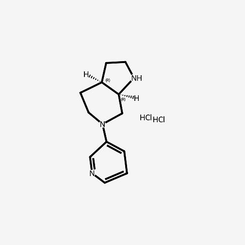 Cl.Cl.c1cncc(N2CC[C@H]3CCN[C@H]3C2)c1